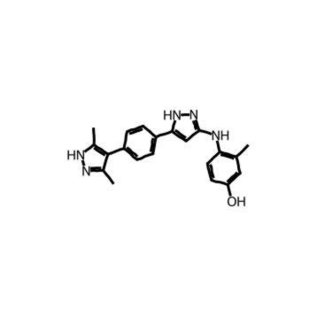 Cc1cc(O)ccc1Nc1cc(-c2ccc(-c3c(C)n[nH]c3C)cc2)[nH]n1